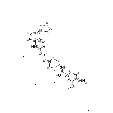 COc1cc(C(=O)NC2CCN(CCOC(=O)N[C@@H](CC(C)C)C(=O)OC3CCCC3)CC2)ccc1N